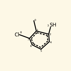 Cc1c(S)cccc1Cl